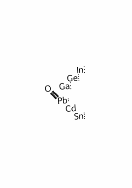 [Cd].[Ga].[Ge].[In].[O]=[Pb].[Sn]